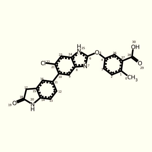 Cc1ccc(Oc2nc3cc(-c4ccc5c(c4)CC(=O)N5)c(Cl)cc3[nH]2)cc1C(=O)O